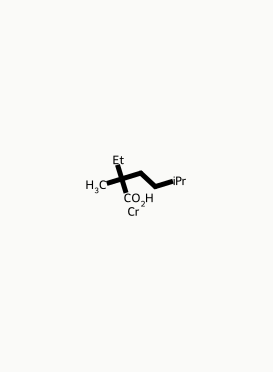 CCC(C)(CCC(C)C)C(=O)O.[Cr]